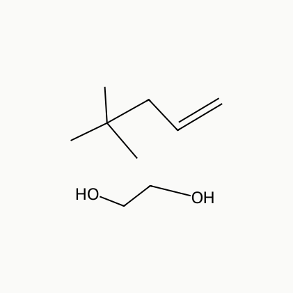 C=CCC(C)(C)C.OCCO